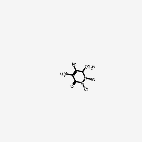 CCN1C(=O)C(N)=C(C(C)=O)C(C(=O)O)N1CC